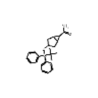 CC(C)(C)[Si](OC1CC2C(C1)C2C(N)=O)(c1ccccc1)c1ccccc1